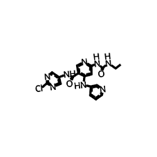 CCNC(=O)Nc1cc(Nc2cccnc2)c(C(=O)Nc2cnc(Cl)nc2)cn1